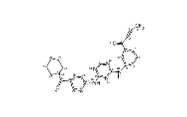 CC#CC(=O)c1cccc(Nc2ncnc(Nc3ccc(C(=O)N4CCCCC4)cc3)n2)c1